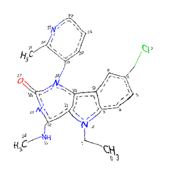 CCn1c2ccc(Cl)cc2c2c1c(NC)nc(=O)n2-c1cccnc1C